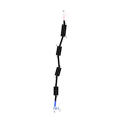 BC#CC#CC#CC#CN